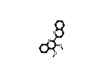 COc1c(-c2ccc3ccccc3n2)nc2ccccc2c1OC